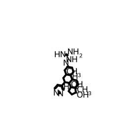 C[C@]12CCC(=NNC(=N)N)CC1CC(c1ccnnc1)[C@@H]1[C@H]2CC[C@]2(C)C(O)CC[C@@]12O